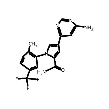 Cc1ccc(C(F)(F)F)cc1-n1cc(-c2cc(N)ncn2)cc1C(N)=O